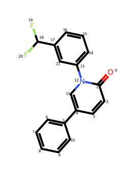 O=c1ccc(-c2ccccc2)cn1-c1cccc(C(F)F)c1